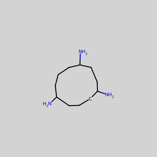 NC1CCCC(N)CCC(N)CCC1